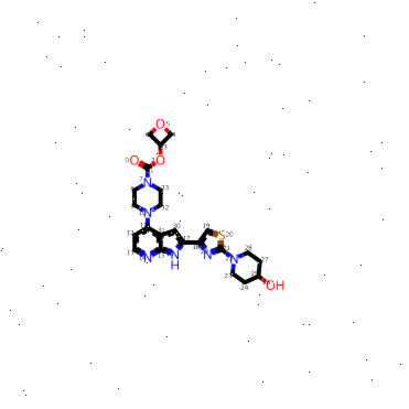 O=C(OC1COC1)N1CCN(c2ccnc3[nH]c(-c4csc(N5CCC(O)CC5)n4)cc23)CC1